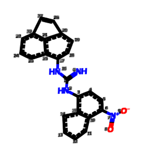 N=C(Nc1ccc([N+](=O)[O-])c2ccccc12)Nc1ccc2c3c(cccc13)C=C2